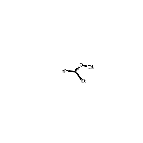 CCCC(CC)OC#N